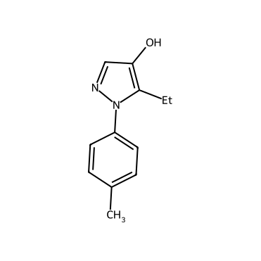 CCc1c(O)cnn1-c1ccc(C)cc1